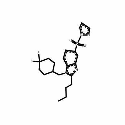 CCCCc1nc2cc(S(=O)(=O)n3cccn3)ccc2n1CC1CCC(F)(F)CC1